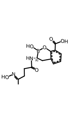 CC(CCC(=O)N[C@H]1Cc2cccc(C(=O)O)c2OB1O)=NO